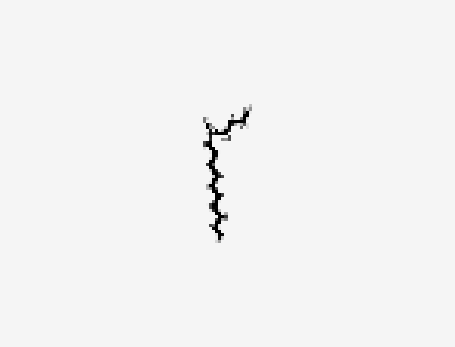 CCCCCCCCCCP(C)CCCC